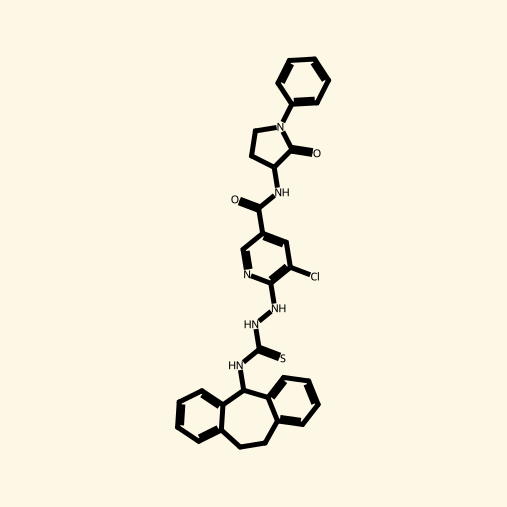 O=C(NC1CCN(c2ccccc2)C1=O)c1cnc(NNC(=S)NC2c3ccccc3CCc3ccccc32)c(Cl)c1